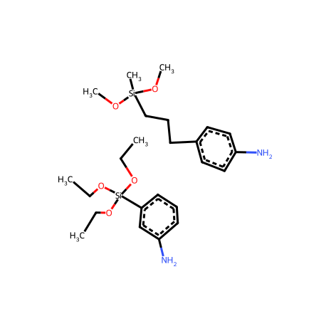 CCO[Si](OCC)(OCC)c1cccc(N)c1.CO[Si](C)(CCCc1ccc(N)cc1)OC